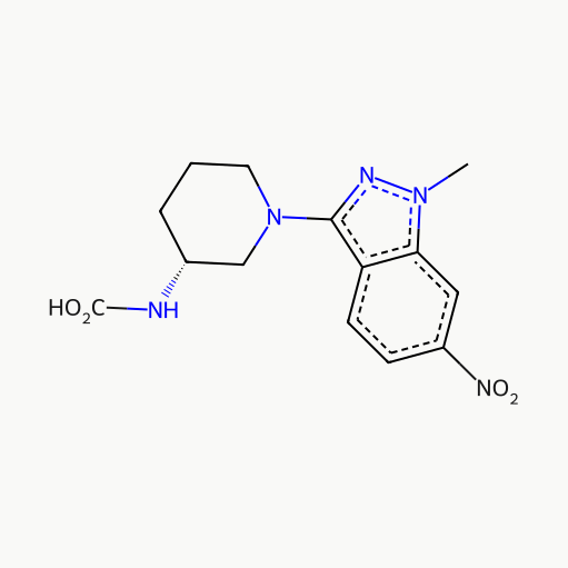 Cn1nc(N2CCC[C@@H](NC(=O)O)C2)c2ccc([N+](=O)[O-])cc21